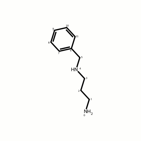 NCCCNCc1cc[c]cc1